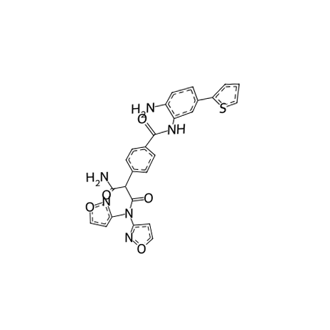 NC(=O)C(C(=O)N(c1ccon1)c1ccon1)c1ccc(C(=O)Nc2cc(-c3cccs3)ccc2N)cc1